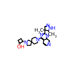 CC1NN=CC1(C)c1nc(N2CCC3(CC2)CCN([C@H]2CC[C@@H]2O)C3)c2ccncc2n1